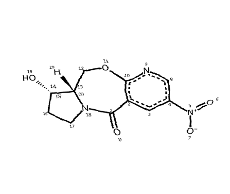 O=C1c2cc([N+](=O)[O-])cnc2OC[C@H]2[C@@H](O)CCN12